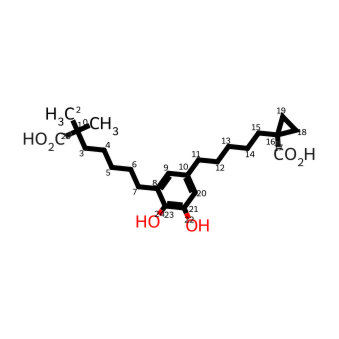 CC(C)(CCCCCc1cc(CCCCCC2(C(=O)O)CC2)cc(O)c1O)C(=O)O